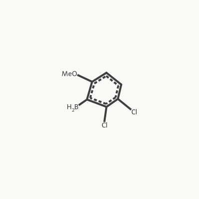 Bc1c(OC)ccc(Cl)c1Cl